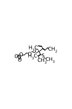 C=C/C=C(\C=C/C)C(OCCOCCO[N+](=O)[O-])C(SCC)=C(C)C